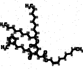 CCCCCC/C=C\COC(=O)CN(CC(=O)OC(CCCCCCCC)CCCCCCCC)C(=O)SCCCn1ccnc1C